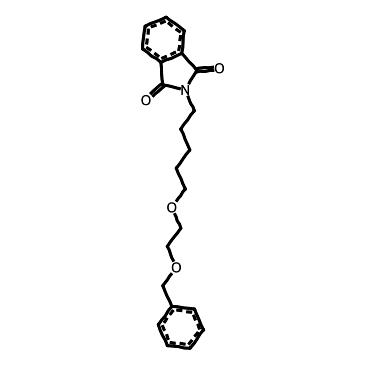 O=C1c2ccccc2C(=O)N1CCCCCOCCOCc1ccccc1